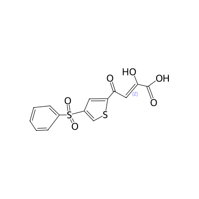 O=C(O)/C(O)=C/C(=O)c1cc(S(=O)(=O)c2ccccc2)cs1